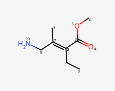 CCC(C(=O)OC)=C(C)CN